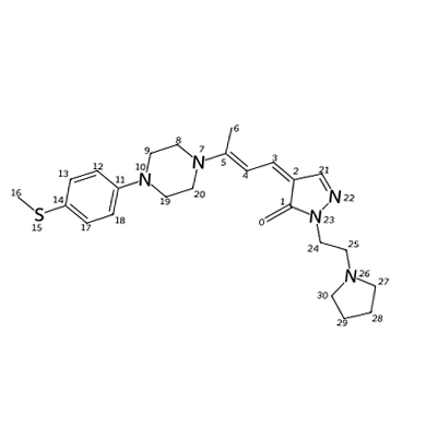 C=c1/c(=C\C=C(/C)N2CCN(c3ccc(SC)cc3)CC2)cnn1CCN1CCCC1